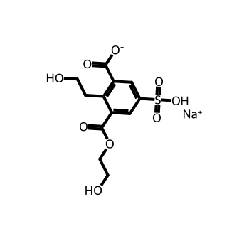 O=C([O-])c1cc(S(=O)(=O)O)cc(C(=O)OCCO)c1CCO.[Na+]